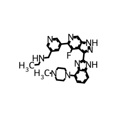 CCNCc1cncc(-c2ncc3[nH]nc(-c4nc5c(N6CCN(C)CC6)cccc5[nH]4)c3c2F)c1